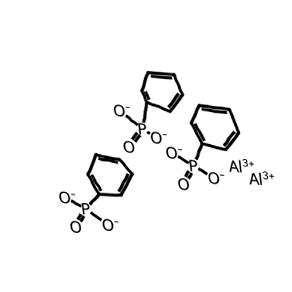 O=P([O-])([O-])c1ccccc1.O=P([O-])([O-])c1ccccc1.O=P([O-])([O-])c1ccccc1.[Al+3].[Al+3]